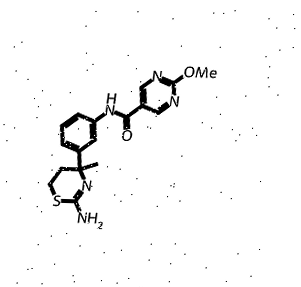 COc1ncc(C(=O)Nc2cccc(C3(C)CCSC(N)=N3)c2)cn1